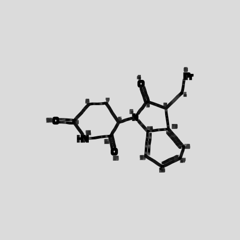 CC(C)CC1C(=O)N(C2CCC(=O)NC2=O)c2ccccc21